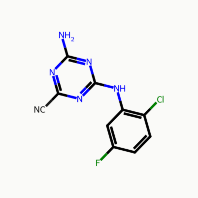 N#Cc1nc(N)nc(Nc2cc(F)ccc2Cl)n1